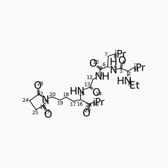 CCNC(C(=O)NC(CC(C)C)C(=O)NCC(=O)NC(CCCCN1C(=O)CCC1=O)C(=O)C(C)C)C(C)C